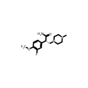 CN1CCN(C[C@@H](C(N)=O)c2ccc(OC(F)(F)F)c(F)c2)CC1